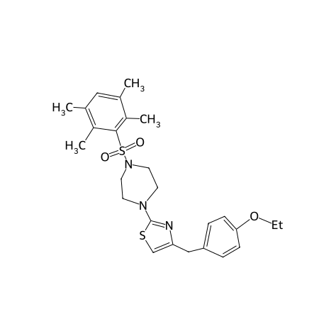 CCOc1ccc(Cc2csc(N3CCN(S(=O)(=O)c4c(C)c(C)cc(C)c4C)CC3)n2)cc1